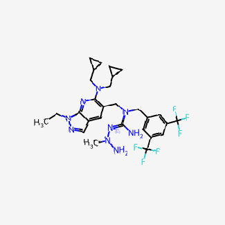 CCn1ncc2cc(CN(Cc3cc(C(F)(F)F)cc(C(F)(F)F)c3)/C(N)=N/N(C)N)c(N(CC3CC3)CC3CC3)nc21